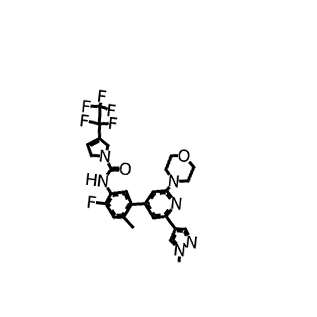 Cc1cc(F)c(NC(=O)N2CC=C(C(F)(F)C(F)(F)F)C2)cc1-c1cc(-c2cnn(C)c2)nc(N2CCOCC2)c1